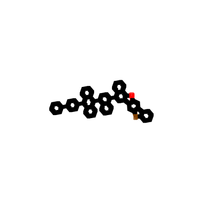 c1ccc(-c2ccc(-c3c4ccccc4c(-c4ccc(-c5cc6c7cc8sc9ccccc9c8cc7oc6c6ccccc56)c5ccccc45)c4ccccc34)cc2)cc1